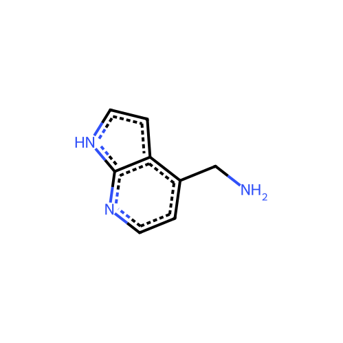 NCc1ccnc2[nH]ccc12